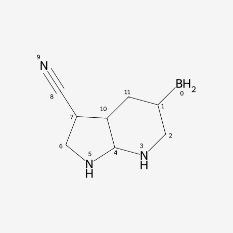 BC1CNC2NCC(C#N)C2C1